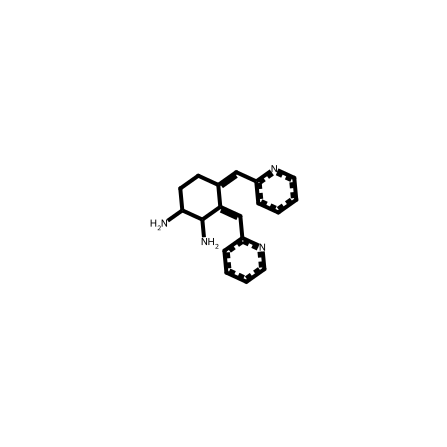 NC1CCC(=C/c2ccccn2)/C(=C/c2ccccn2)C1N